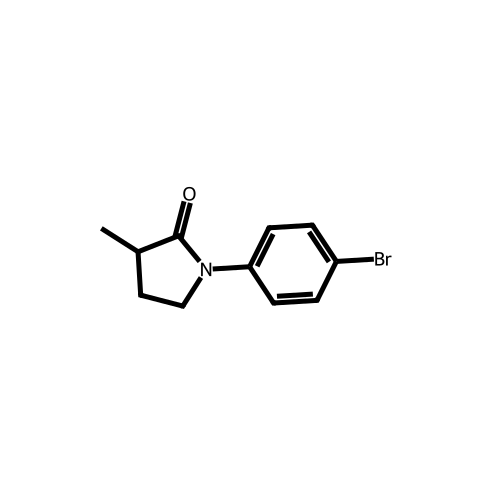 CC1CCN(c2ccc(Br)cc2)C1=O